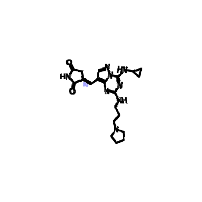 O=C1C/C(=C\c2cnn3c(NC4CC4)nc(NCCCN4CCCC4)nc23)C(=O)N1